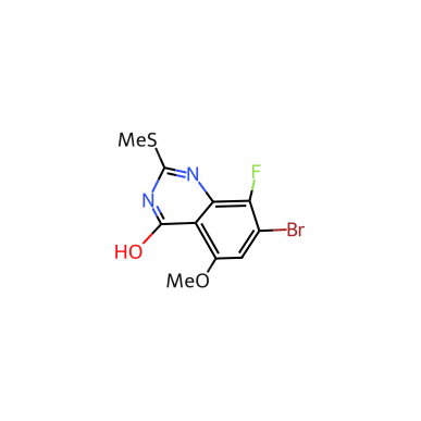 COc1cc(Br)c(F)c2nc(SC)nc(O)c12